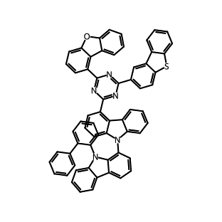 c1ccc(-c2ccccc2-n2c3ccccc3c3cccc(-n4c5ccccc5c5c(-c6nc(-c7ccc8sc9ccccc9c8c7)nc(-c7cccc8oc9ccccc9c78)n6)cccc54)c32)cc1